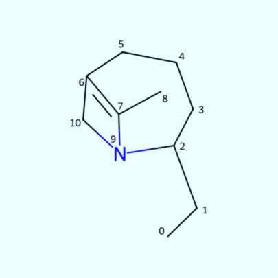 CCC1CCCC2=C(C)N1C2